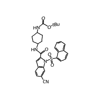 CC(C)(C)OC(=O)NC1CCC(NC(=O)c2cc3ccc(C#N)cc3n2S(=O)(=O)c2cccc3ccccc23)CC1